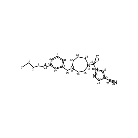 CCCCOc1cccc(CN2CCCN(C(=O)n3cc(C#N)cn3)CC2)c1